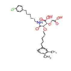 Cc1ccc(CCCCCOC(C(=O)NCCCCCCc2ccc(Cl)cc2)C(OCC(=O)O)C(=O)O)cc1C